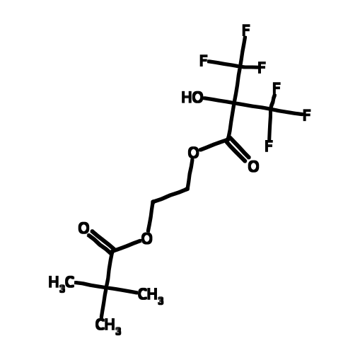 CC(C)(C)C(=O)OCCOC(=O)C(O)(C(F)(F)F)C(F)(F)F